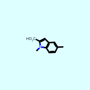 Cc1ccc2c(c1)cc(C(=O)O)n2C